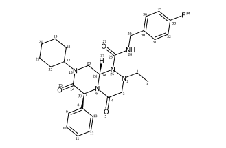 CCN1CC(=O)N2[C@@H](c3ccccc3)C(=O)N(C3CCCCC3)C[C@@H]2N1C(=O)NCc1ccc(F)cc1